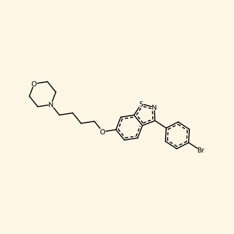 Brc1ccc(-c2nsc3cc(OCCCCN4CCOCC4)ccc23)cc1